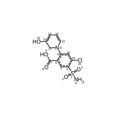 NS(=O)(=O)c1cc(C(=O)O)c(N2C=CC=C(O)C2)cc1Cl